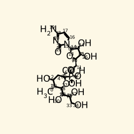 C[C@@H]1C(O)C[C@@](C(=O)O)(P(=O)(O)OC[C@H]2O[C@@H](n3ccc(N)nc3=O)C(O)[C@H]2O)OC1[C@H](O)[C@H](O)CO